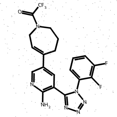 Nc1ncc(C2=CCN(C(=O)C(F)(F)F)CCC2)cc1-c1nnnn1-c1cccc(F)c1F